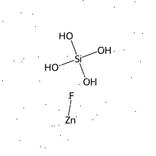 O[Si](O)(O)O.[F][Zn]